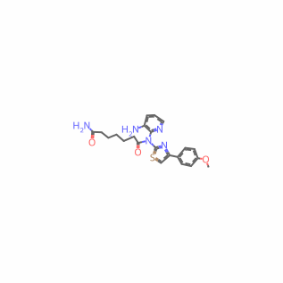 COc1ccc(-c2csc(N(C(=O)CCCCCC(N)=O)c3ncccc3N)n2)cc1